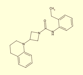 CCc1ccccc1NC(=O)N1CC(N2CCCc3ccccc32)C1